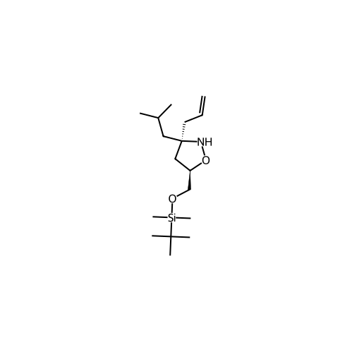 C=CC[C@@]1(CC(C)C)C[C@H](CO[Si](C)(C)C(C)(C)C)ON1